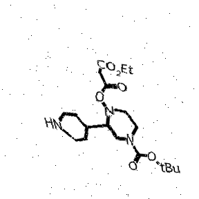 CCOC(=O)CC(=O)ON1CCN(C(=O)OC(C)(C)C)CC1C1CCNCC1